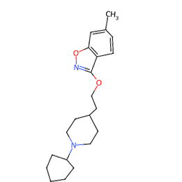 Cc1ccc2c(OCCC3CCN(C4CCCCC4)CC3)noc2c1